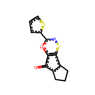 O=c1c2c(c3snc(-c4cccs4)oc1=3)CCC2